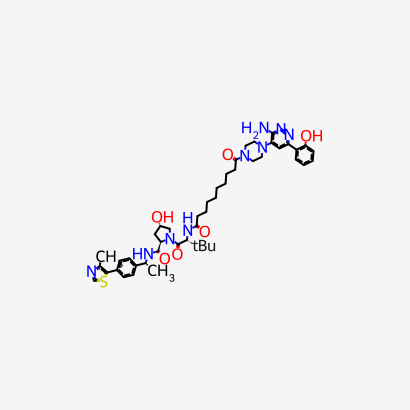 Cc1ncsc1-c1ccc([C@@H](C)NC(=O)[C@H]2C[C@H](O)CN2C(=O)[C@H](NC(=O)CCCCCCCCC(=O)N2CCN(c3cc(-c4ccccc4O)nnc3N)CC2)C(C)(C)C)cc1